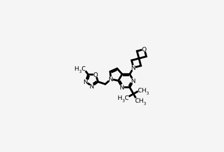 Cc1nnc(Cn2ccc3c(N4CC5(COC5)C4)nc(C(C)(C)C)nc32)o1